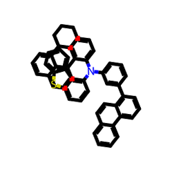 c1cc(-c2cccc3c2ccc2ccccc23)cc(N(c2ccccc2-c2cccc3cccc(C4CCCCC4)c23)c2cccc3sc4ccccc4c23)c1